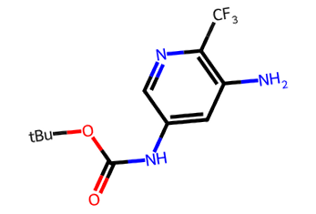 CC(C)(C)OC(=O)Nc1cnc(C(F)(F)F)c(N)c1